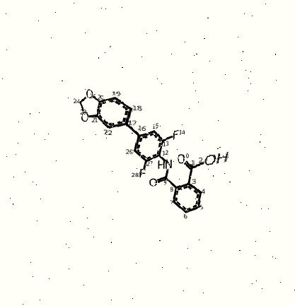 O=C(O)c1ccccc1C(=O)Nc1c(F)cc(-c2ccc3c(c2)OCO3)cc1F